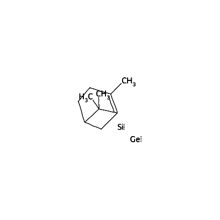 CC1=C2CC(CC1)C2(C)C.[Ge].[Si]